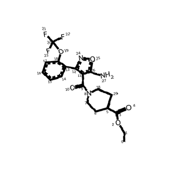 CCOC(=O)C1CCN(C(=O)c2c(-c3ccccc3OC(F)(F)F)noc2N)CC1